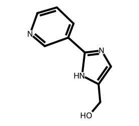 OCc1cnc(-c2cccnc2)[nH]1